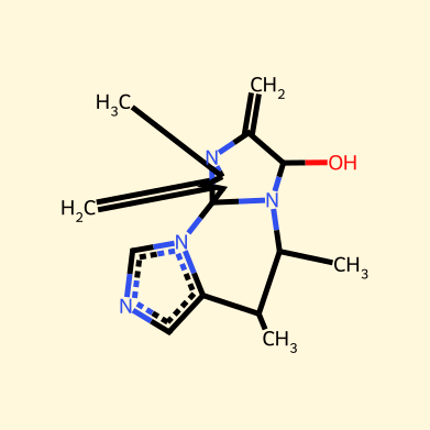 C=C1CC23N(C(=C)C(O)N2C(C)C(C)c2cncn23)C1C